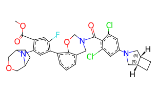 COC(=O)c1cc(F)c(-c2cccc3c2OCN(C(=O)c2c(Cl)cc(N4C[C@H]5CC[C@H]5C4)cc2Cl)C3)cc1N1C2CCC1COC2